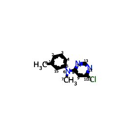 Cc1cccc(N(C)c2cc(Cl)ncn2)c1